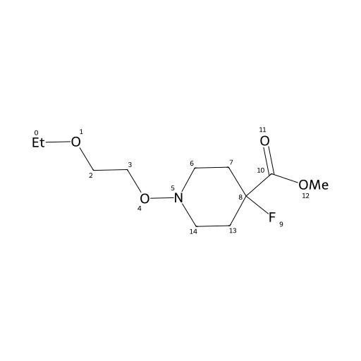 CCOCCON1CCC(F)(C(=O)OC)CC1